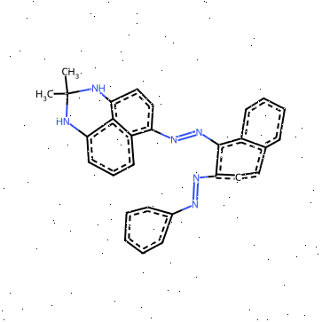 CC1(C)Nc2cccc3c(N=Nc4c(N=Nc5ccccc5)ccc5ccccc45)ccc(c23)N1